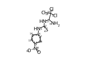 NC(NC(=S)Nc1ccc([N+](=O)[O-])cc1)C(Cl)(Cl)Cl